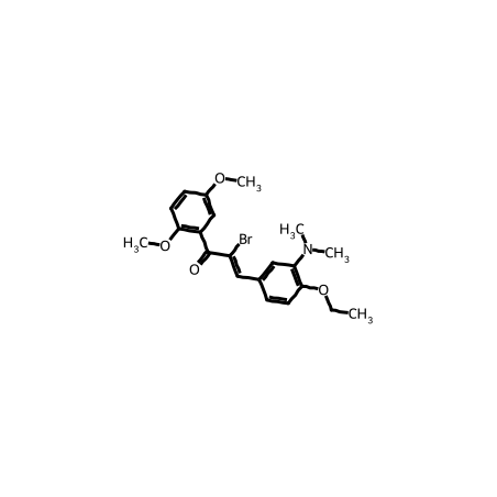 CCOc1ccc(C=C(Br)C(=O)c2cc(OC)ccc2OC)cc1N(C)C